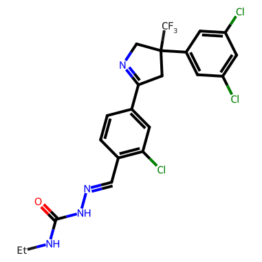 CCNC(=O)NN=Cc1ccc(C2=NCC(c3cc(Cl)cc(Cl)c3)(C(F)(F)F)C2)cc1Cl